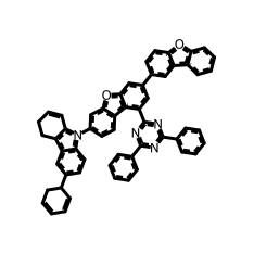 C1=CCC(c2ccc3c(c2)c2c(n3-c3ccc4c(c3)oc3cc(-c5ccc6oc7ccccc7c6c5)cc(-c5nc(-c6ccccc6)nc(-c6ccccc6)n5)c34)C=CCC2)C=C1